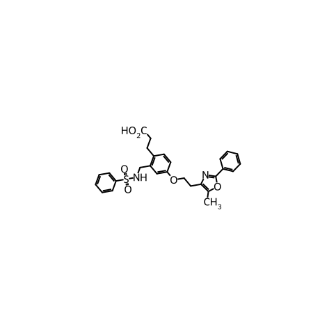 Cc1oc(-c2ccccc2)nc1CCOc1ccc(CCC(=O)O)c(CNS(=O)(=O)c2ccccc2)c1